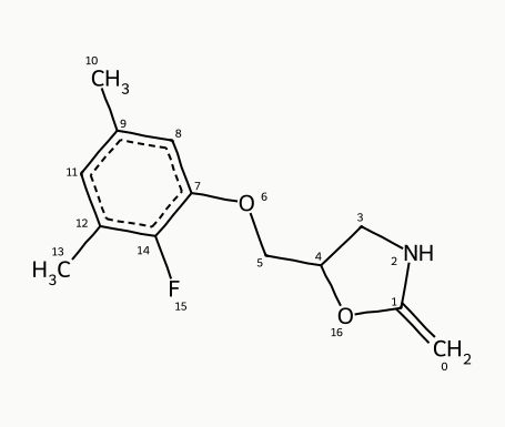 C=C1NCC(COc2cc(C)cc(C)c2F)O1